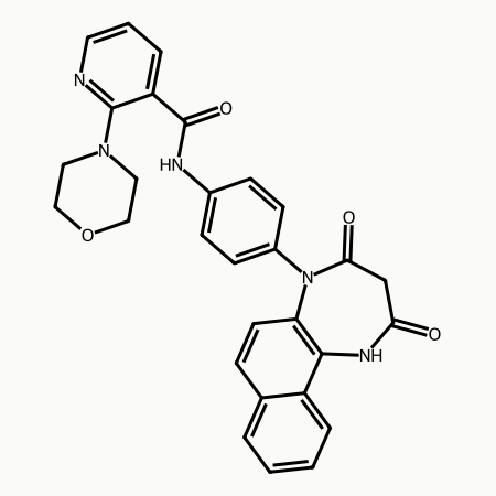 O=C1CC(=O)N(c2ccc(NC(=O)c3cccnc3N3CCOCC3)cc2)c2ccc3ccccc3c2N1